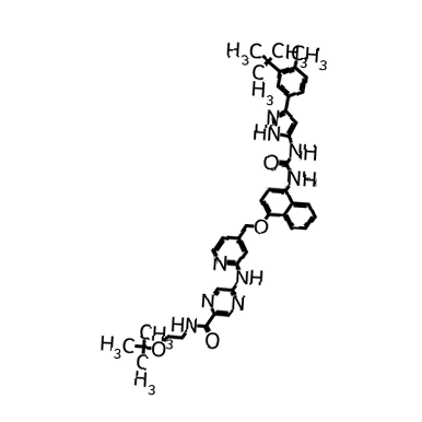 Cc1ccc(-c2cc(NC(=O)Nc3ccc(OCc4ccnc(Nc5cnc(C(=O)NCCOC(C)(C)C)cn5)c4)c4ccccc34)[nH]n2)cc1C(C)(C)C